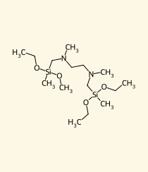 CCO[Si](C)(CN(C)CCN(C)C[Si](C)(OCC)OCC)OC